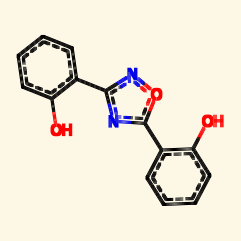 Oc1ccccc1-c1noc(-c2ccccc2O)n1